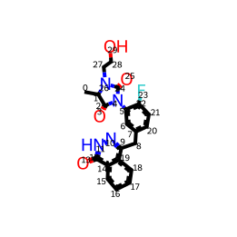 CC1C(=O)N(c2cc(Cc3n[nH]c(=O)c4ccccc34)ccc2F)C(=O)N1CCO